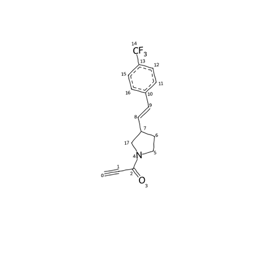 C#CC(=O)N1CCC(C=Cc2ccc(C(F)(F)F)cc2)C1